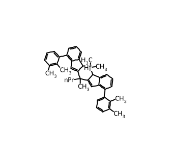 CCCC1(C)C2=Cc3c(-c4cccc(C)c4C)cccc3[CH]2[Hf]([CH3])([CH3])[CH]2C1=Cc1c(-c3cccc(C)c3C)cccc12